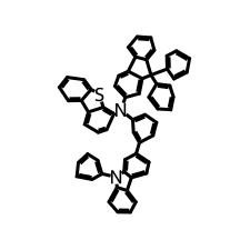 c1ccc(-n2c3ccccc3c3ccc(-c4cccc(N(c5ccc6c(c5)C(c5ccccc5)(c5ccccc5)c5ccccc5-6)c5cccc6c5sc5ccccc56)c4)cc32)cc1